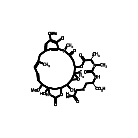 COc1cc2cc(c1Cl)N(C)C(=O)CC(OC(=O)[C@H](C)N(C)C(=O)N[C@@H](CSCC(N)=O)C(=O)O)C1(C)OC1C(C)C1CC(O)(NC(=O)O1)C(OC)/C=C/C=C(\C)C2